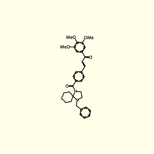 COc1cc(C(=O)/C=C/c2ccc(C(=O)N3CCN(Cc4ccccc4)C34CCSCC4)cc2)cc(OC)c1OC